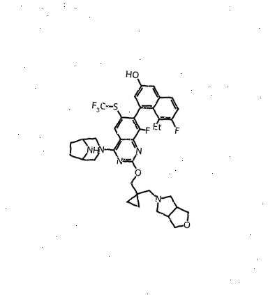 CCc1c(F)ccc2cc(O)cc(-c3c(SC(F)(F)F)cc4c(N5CC6CCC(C5)N6)nc(OCC5(CN6CC7COCC7C6)CC5)nc4c3F)c12